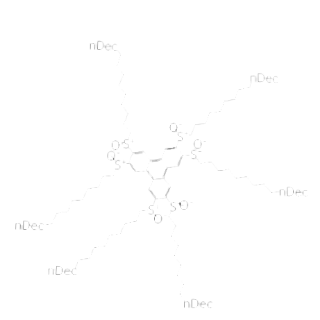 CCCCCCCCCCCCCCCCCCC[S+]([O-])c1cc2c3cc([S+]([O-])CCCCCCCCCCCCCCCCCCC)c([S+]([O-])CCCCCCCCCCCCCCCCCCC)cc3c3cc([S+]([O-])CCCCCCCCCCCCCCCCCCC)c([S+]([O-])CCCCCCCCCCCCCCCCCCC)cc3c2cc1[S+]([O-])CCCCCCCCCCCCCCCCCCC